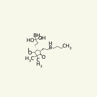 BC(O)(O)CC[C@H]1C(OI)C(C)(C)C(=O)[C@@H]1CCBCCCC